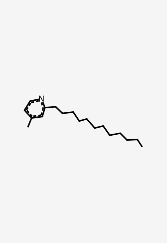 CCCCCCCCCCCCc1cc(C)ccn1